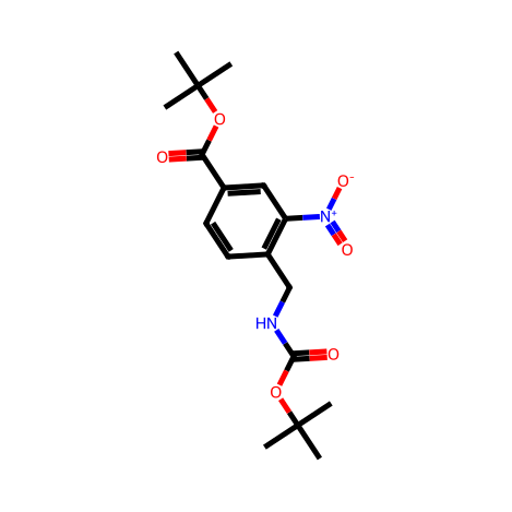 CC(C)(C)OC(=O)NCc1ccc(C(=O)OC(C)(C)C)cc1[N+](=O)[O-]